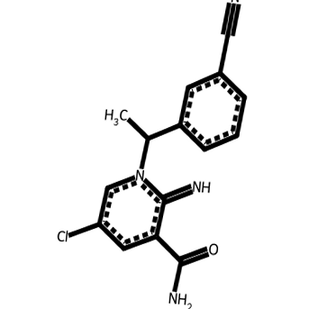 CC(c1cccc(C#N)c1)n1cc(Cl)cc(C(N)=O)c1=N